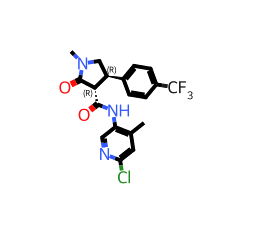 Cc1cc(Cl)ncc1NC(=O)[C@@H]1C(=O)N(C)C[C@H]1c1ccc(C(F)(F)F)cc1